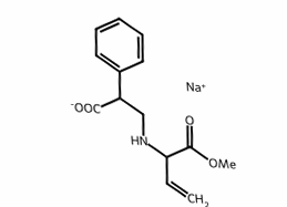 C=CC(NCC(C(=O)[O-])c1ccccc1)C(=O)OC.[Na+]